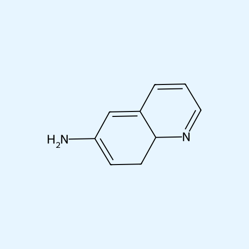 NC1=CCC2N=CC=CC2=C1